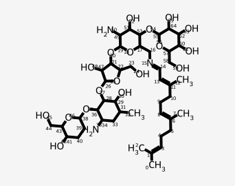 CC(C)=CCC/C(C)=C/CC/C(C)=C/C=N/CC1OC(OC2C(CO)OC(OC3C(O)C(C)CC(N)C3OC3CCC(O)C(CO)O3)C2O)C(N)C(O)C1OC1OC(CO)C(O)C(O)C1O